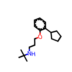 CC(C)(C)NCCCOc1ccccc1C1CCCC1